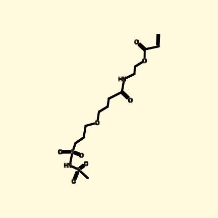 C=CC(=O)OCCNC(=O)CCCOCCCS(=O)(=O)NS(C)(=O)=O